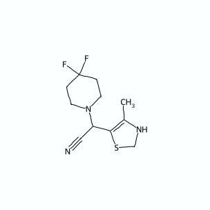 CC1=C(C(C#N)N2CCC(F)(F)CC2)SCN1